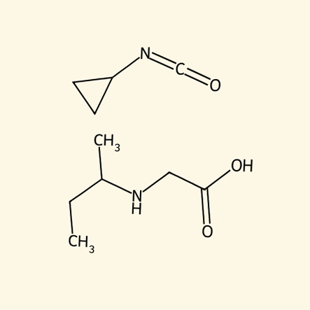 CCC(C)NCC(=O)O.O=C=NC1CC1